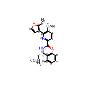 COc1ccc(C(=O)N[C@@H](CC(=O)O)c2ccccc2C)nc1-c1ccoc1C